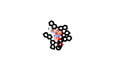 CN(P1(=NS(=O)(=O)C(F)(F)F)Oc2c(-c3ccc4ccccc4c3)cc3ccccc3c2-c2c(c(-c3ccc4ccccc4c3)cc3ccccc23)O1)P1(=NS(=O)(=O)C(F)(F)F)Oc2c(-c3ccc4ccccc4c3)cc3ccccc3c2-c2c(c(-c3ccc4ccccc4c3)cc3ccccc23)O1